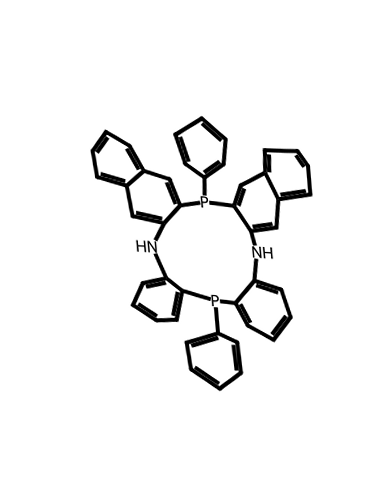 c1ccc(P2c3ccccc3Nc3cc4ccccc4cc3P(c3ccccc3)c3cc4ccccc4cc3Nc3ccccc32)cc1